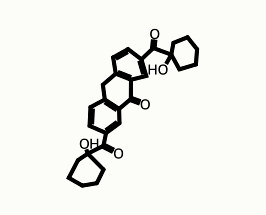 O=C1c2cc(C(=O)C3(O)CCCCC3)ccc2Cc2ccc(C(=O)C3(O)CCCCC3)cc21